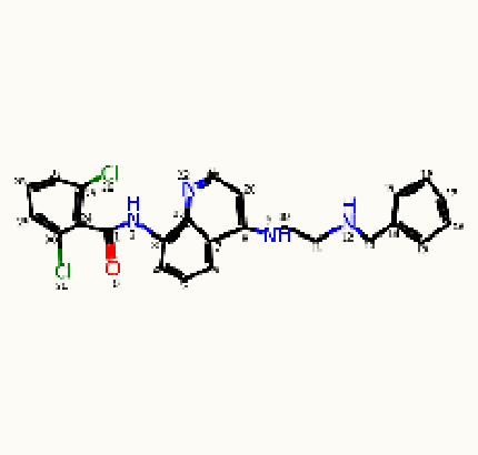 O=C(Nc1cccc2c(NCCNCc3ccccc3)ccnc12)c1c(Cl)cccc1Cl